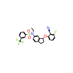 CCN(c1ccc2c(c1)C(Oc1cccc(F)c1C#N)CC2)S(=O)(=O)c1cccc(C(F)(F)F)c1